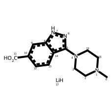 CN1CCN(c2n[nH]c3cc(C(=O)O)ccc23)CC1.[LiH]